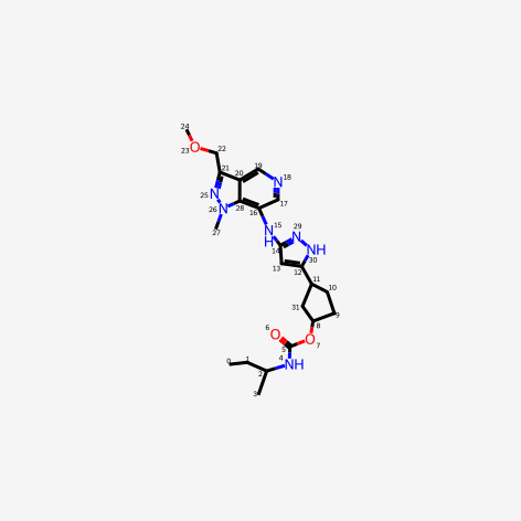 CCC(C)NC(=O)OC1CCC(c2cc(Nc3cncc4c(COC)nn(C)c34)n[nH]2)C1